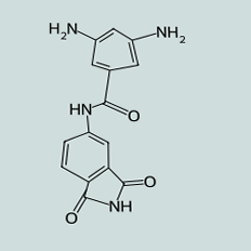 Nc1cc(N)cc(C(=O)Nc2ccc3c(c2)C(=O)NC3=O)c1